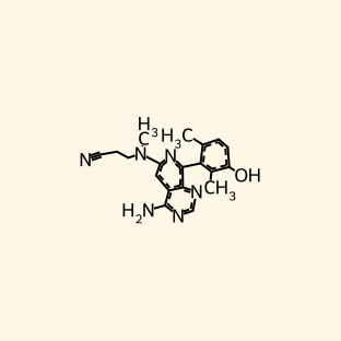 Cc1ccc(O)c(C)c1-c1nc(N(C)CCC#N)cc2c(N)ncnc12